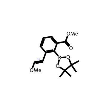 CO/C=C/c1cccc(C(=O)OC)c1B1OC(C)(C)C(C)(C)O1